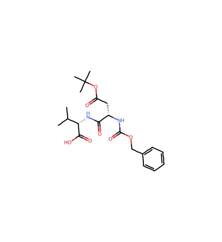 CC(C)[C@H](NC(=O)[C@H](CC(=O)OC(C)(C)C)NC(=O)OCc1ccccc1)C(=O)O